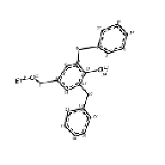 CCOCc1cc(Cc2ccccc2)c(O)c(Cc2ccccc2)c1